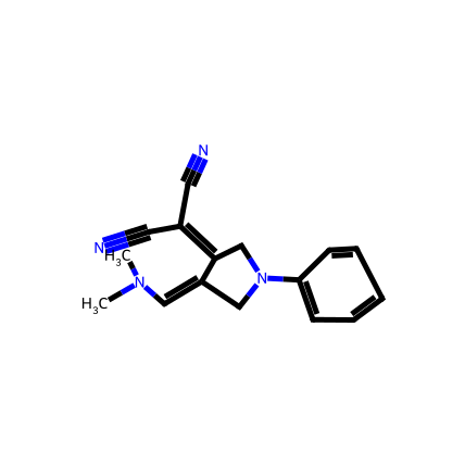 CN(C)/C=C1/CN(c2ccccc2)CC1=C(C#N)C#N